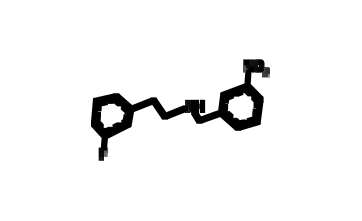 O=[N+]([O-])c1cccc(CNCCc2cccc(F)c2)c1